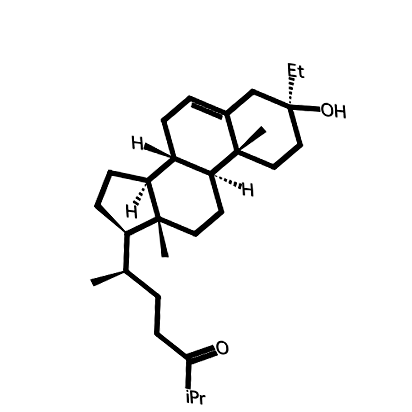 CC[C@]1(O)CC[C@@]2(C)C(=CC[C@H]3[C@@H]4CC[C@H]([C@H](C)CCC(=O)C(C)C)[C@@]4(C)CC[C@@H]32)C1